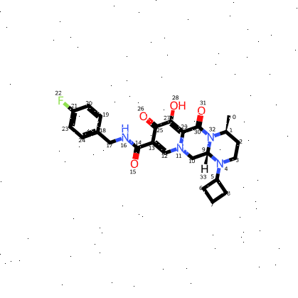 C[C@H]1CCN(C2CCC2)[C@@H]2Cn3cc(C(=O)NCc4ccc(F)cc4)c(=O)c(O)c3C(=O)N12